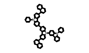 c1ccc(-n2c3ccc(-c4ccc5c(c4)c4cc(-c6cccc7ccccc67)ccc4n5-c4ccc5c(c4)c4ccccc4n5-c4ccccc4)cc3c3cc(-c4cccc5ccccc45)ccc32)cc1